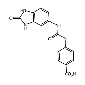 O=C(Nc1ccc(C(=O)O)cc1)Nc1ccc2[nH]c(=O)[nH]c2c1